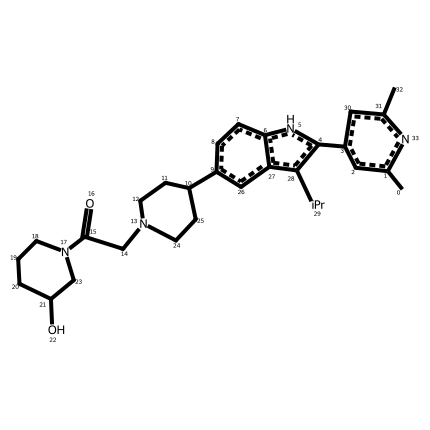 Cc1cc(-c2[nH]c3ccc(C4CCN(CC(=O)N5CCCC(O)C5)CC4)cc3c2C(C)C)cc(C)n1